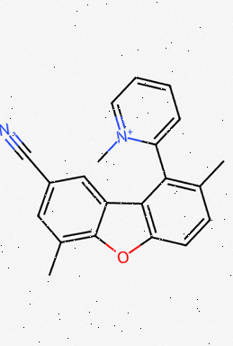 Cc1ccc2oc3c(C)cc(C#N)cc3c2c1-c1cccc[n+]1C